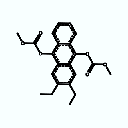 CCc1cc2c(OC(=O)OC)c3ccccc3c(OC(=O)OC)c2cc1CC